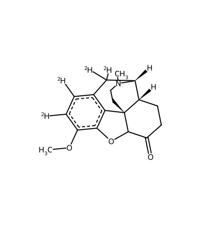 [2H]c1c([2H])c2c3c(c1OC)OC1C(=O)CC[C@H]4[C@H](N(C)CC[C@]314)C2([2H])[2H]